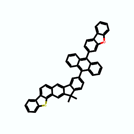 CC1(C)c2ccc(-c3c4ccccc4c(-c4ccc5c(c4)oc4ccccc45)c4ccccc34)cc2-c2cc3ccc4c5ccccc5sc4c3cc21